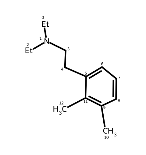 CCN(CC)CCc1cccc(C)c1C